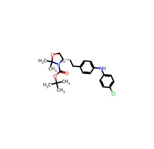 CC(C)(C)OC(=O)N1[C@@H](CCc2ccc(Nc3ccc(Cl)cc3)cc2)COC1(C)C